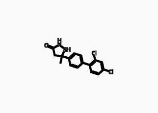 CC1(c2ccc(-c3ccc(Cl)cc3Cl)cc2)CC(=O)NN1